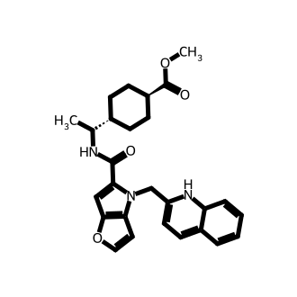 COC(=O)[C@H]1CC[C@H](C(C)NC(=O)c2cc3occc3n2CC2=CC=C3C=CC=CC3N2)CC1